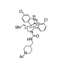 CC(=O)N1CCC(CNC(=O)N2C[C@@H](CC(C)(C)C)[C@@]3(C(=O)Nc4cc(Cl)ccc43)[C@H]2c2cccc(Cl)c2F)CC1